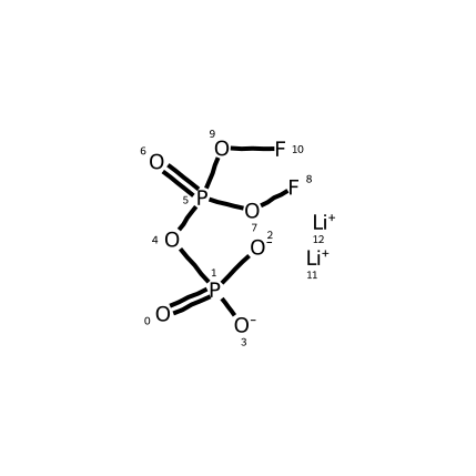 O=P([O-])([O-])OP(=O)(OF)OF.[Li+].[Li+]